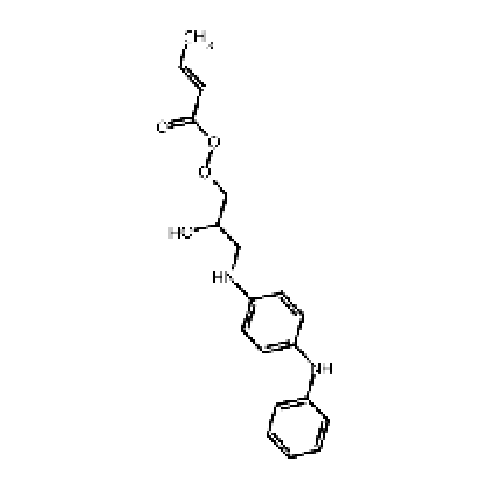 CC=CC(=O)OOCC(O)CNc1ccc(Nc2ccccc2)cc1